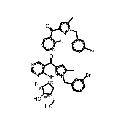 Cc1cc(C(=O)c2cncnc2Cl)nn1Cc1cccc(Br)c1.Cc1cc(C(=O)c2cncnc2N[C@@H]2C[C@H](CO)[C@@H](O)[C@@H]2F)nn1Cc1cccc(Br)c1